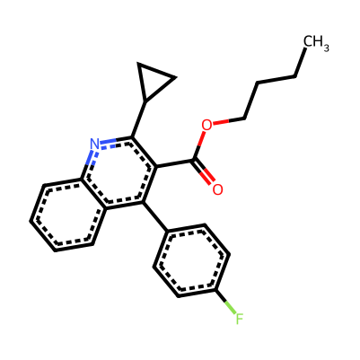 CCCCOC(=O)c1c(C2CC2)nc2ccccc2c1-c1ccc(F)cc1